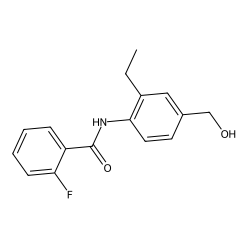 CCc1cc(CO)ccc1NC(=O)c1ccccc1F